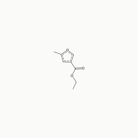 CCOC(=O)c1coc(C)c1